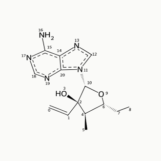 C=C[C@@]1(O)[C@H](C)[C@@H](CC)O[C@H]1n1cnc2c(N)ncnc21